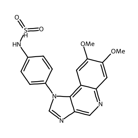 COc1cc2ncc3ncn(-c4ccc(N[SH](=O)=O)cc4)c3c2cc1OC